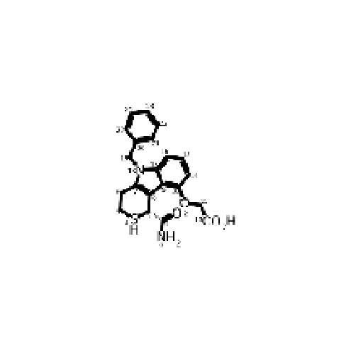 NC(=O)[C@@H]1[SH]CCc2c1c1c(OCC(=O)O)cccc1n2Cc1ccccc1